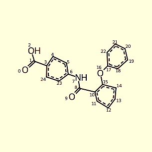 O=C(O)c1ccc(NC(=O)c2ccccc2Oc2ccccc2)cc1